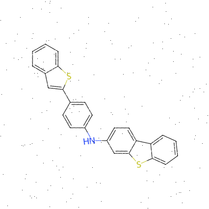 c1ccc2sc(-c3ccc(Nc4ccc5c(c4)sc4ccccc45)cc3)cc2c1